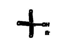 [Er].[O]=[Mn](=[O])(=[O])[OH]